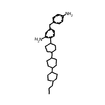 CCCC1CCC(C2CCC(C3CCC(c4ccc(Cc5ccc(N)cc5)cc4N)CC3)CC2)CC1